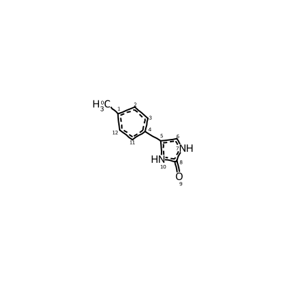 Cc1ccc(-c2c[nH]c(=O)[nH]2)cc1